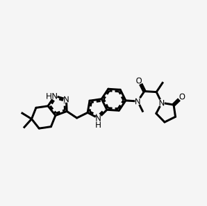 CC(C(=O)N(C)c1ccc2cc(Cc3n[nH]c4c3CCC(C)(C)C4)[nH]c2c1)N1CCCC1=O